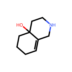 OC12CCCC=C1CNCC2